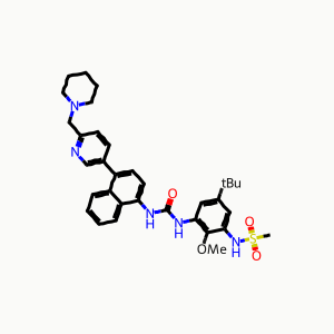 COc1c(NC(=O)Nc2ccc(-c3ccc(CN4CCCCC4)nc3)c3ccccc23)cc(C(C)(C)C)cc1NS(C)(=O)=O